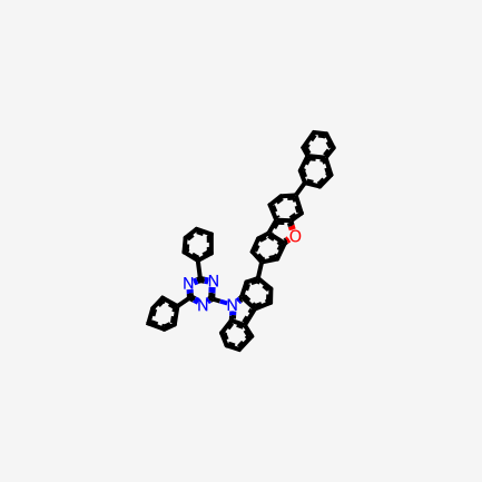 c1ccc(-c2nc(-c3ccccc3)nc(-n3c4ccccc4c4ccc(-c5ccc6c(c5)oc5cc(-c7ccc8ccccc8c7)ccc56)cc43)n2)cc1